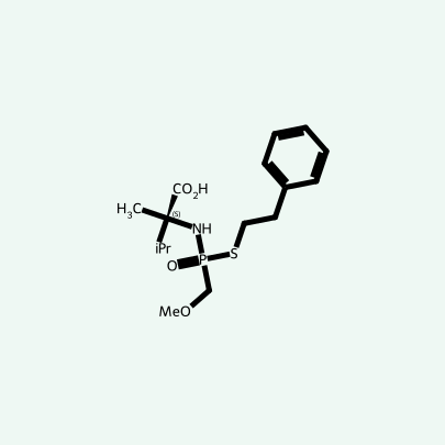 COCP(=O)(N[C@](C)(C(=O)O)C(C)C)SCCc1ccccc1